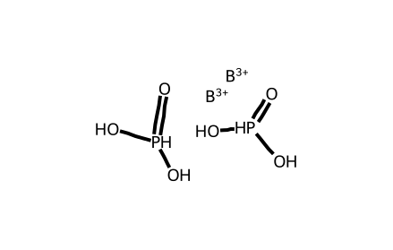 O=[PH](O)O.O=[PH](O)O.[B+3].[B+3]